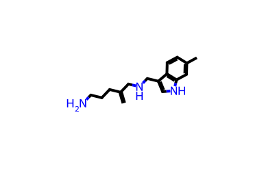 C=C(CCCN)CNCc1c[nH]c2cc(C)ccc12